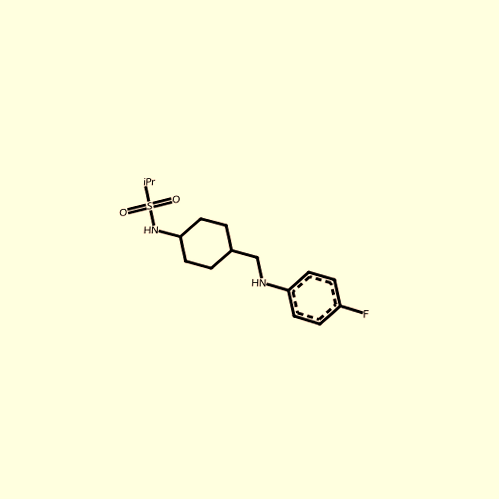 CC(C)S(=O)(=O)NC1CCC(CNc2ccc(F)cc2)CC1